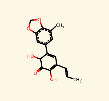 [CH2]C=CC1=C(O)C(=O)C(O)C(c2cc(C)c3c(c2)OCO3)=C1